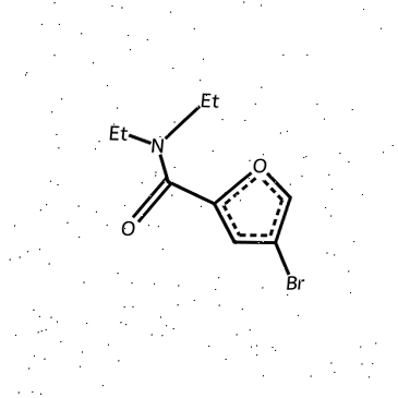 CCN(CC)C(=O)c1cc(Br)co1